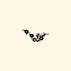 CCn1cncc1Cn1c(CN2CCC(Oc3cccc(COc4ccc(Cl)cc4F)c3)CC2)nc2ccc(/C(C)=C/C(=O)O)cc21